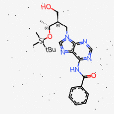 C[C@@H](O[Si](C)(C)C(C)(C)C)[C@@H](CO)Cn1cnc2c(NC(=O)c3ccccc3)ncnc21